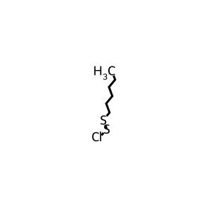 CCCCCCSSCl